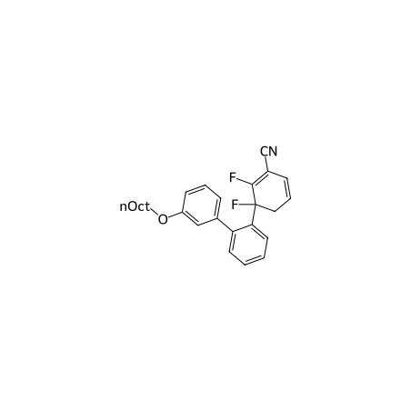 CCCCCCCCOc1cccc(-c2ccccc2C2(F)CC=CC(C#N)=C2F)c1